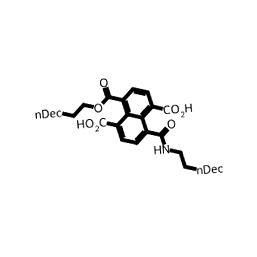 CCCCCCCCCCCCNC(=O)c1ccc(C(=O)O)c2c(C(=O)OCCCCCCCCCCCC)ccc(C(=O)O)c12